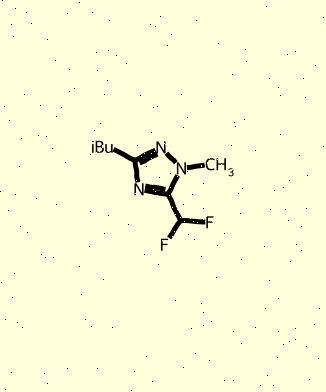 CCC(C)c1nc(C(F)F)n(C)n1